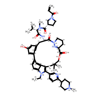 C=CC(=O)N1CC[C@H](C(=O)N(C)[C@H](C(=O)N[C@H]2Cc3cc(O)cc(c3)-c3ccc4c(c3)c(c(-c3ccc(C5CCN(C)CC5)nc3)n4CC)CC(C)(C)COC(=O)[C@@H]3CCCN(N3)C2=O)C(C)C)C1